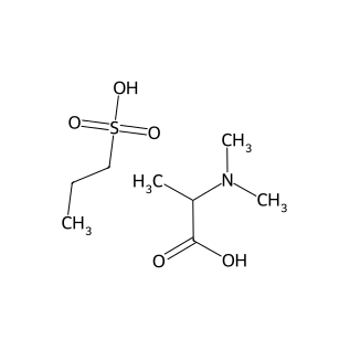 CC(C(=O)O)N(C)C.CCCS(=O)(=O)O